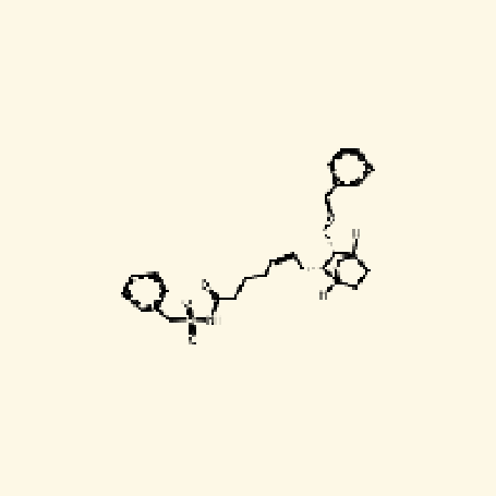 O=C(CCC/C=C\C[C@@H]1[C@H](COCc2ccccc2)[C@@H]2CC[C@H]1O2)NS(=O)(=O)Cc1ccccc1